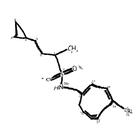 CC(CCC1CC1)S(=O)(=O)Nc1ccc(C(C)(C)C)cc1